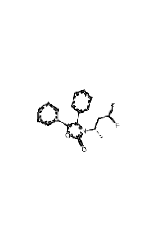 C[C@@H](CC(F)F)n1c(-c2ccccc2)c(-c2ccccc2)oc1=O